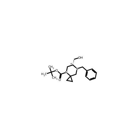 CC(C)(C)OC(=O)N1C[C@H](CO)N(Cc2ccccc2)CC12CC2